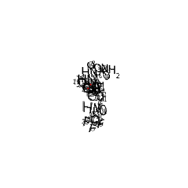 COC(=O)N[C@@H](CCC(N)=O)C(=O)NC[C@]1(O)C2CCC1C[C@@H](S(=O)(=O)c1cc(C(=O)Nc3cc(F)c(F)c(F)c3)ccc1Cl)C2